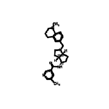 Cc1cncc(C(=O)N[C@H]2CC[C@@H]3[C@H]2CCN3Cc2ccc3c(c2)CCCN3C)c1